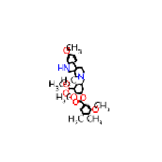 COC(=O)[C@H]1[C@@H](C)[C@@H](CN2CCC3=C(CNc4cc(OC)ccc43)C2)C[C@@H](OC(=O)c2cc(C)c(C)c(OC)c2)[C@@H]1OC